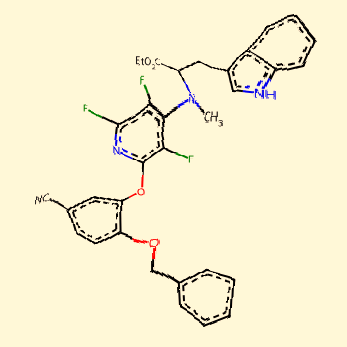 CCOC(=O)C(Cc1c[nH]c2ccccc12)N(C)c1c(F)c(F)nc(Oc2cc(C#N)ccc2OCc2ccccc2)c1F